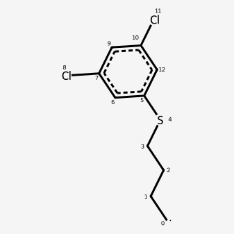 [CH2]CCCSc1cc(Cl)cc(Cl)c1